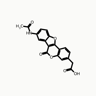 CC(=O)Nc1ccc2oc3c4ccc(CC(=O)O)cc4oc(=O)c3c2c1